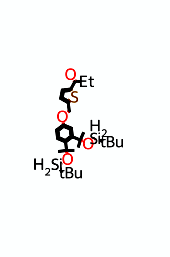 CCC(=O)c1ccc(COc2ccc(C(C)(C)O[SiH2]C(C)(C)C)c(C(C)(C)O[SiH2]C(C)(C)C)c2)s1